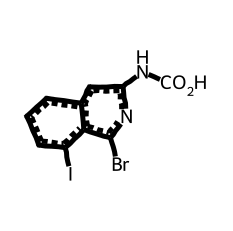 O=C(O)Nc1cc2cccc(I)c2c(Br)n1